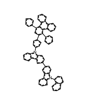 c1ccc(-c2cc(-c3ccc(-n4c5ccccc5c5cc(-c6ccc7c(c6)c6ccccc6n7-c6cccc7ccccc67)ccc54)cc3)c(-c3ccccc3)c3c4ccccc4c4ccccc4c23)cc1